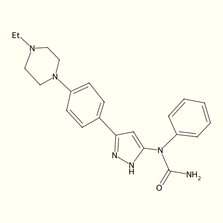 CCN1CCN(c2ccc(-c3cc(N(C(N)=O)c4ccccc4)[nH]n3)cc2)CC1